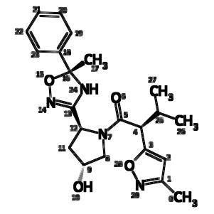 Cc1cc([C@@H](C(=O)N2C[C@H](O)C[C@H]2C2=NO[C@](C)(c3ccccc3)N2)C(C)C)on1